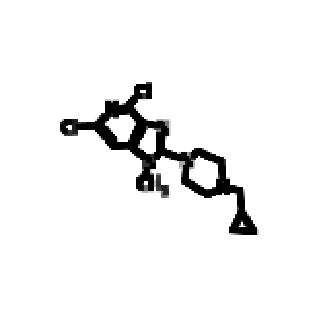 Cn1c(N2CCN(CC3CC3)CC2)nc2c(Cl)nc(Cl)cc21